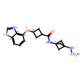 O=C(O)NC12CC(NC(=O)C3CC(Oc4cccc5scnc45)C3)(C1)C2